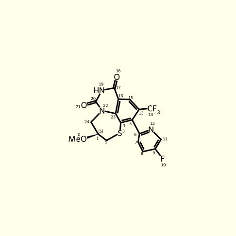 CO[C@@H]1CSc2c(-c3ccc(F)cn3)c(C(F)(F)F)cc3c(=O)[nH]c(=O)n(c23)C1